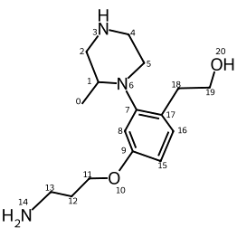 CC1CNCCN1c1cc(OCCCN)ccc1CCO